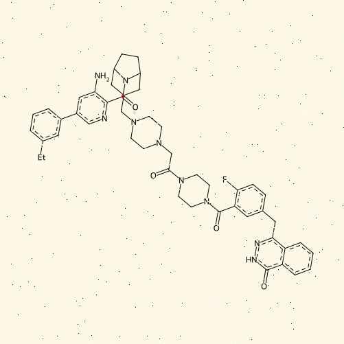 CCc1cccc(-c2cnc(C(=O)N3C4CCC3CC(CN3CCN(CC(=O)N5CCN(C(=O)c6cc(Cc7n[nH]c(=O)c8ccccc78)ccc6F)CC5)CC3)C4)c(N)c2)c1